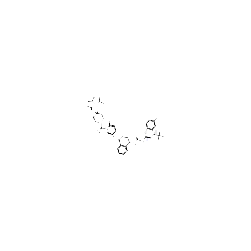 Cc1ccc(N/C(=C\C(=N)C(C)(C)C)NC(=O)N[C@H]2CC[C@@H](Oc3ccc(=N)n(C(=N)N4CCC(C)(O[Si](C(C)C)(C(C)C)C(C)C)CC4)c3)c3ccccc32)cc1